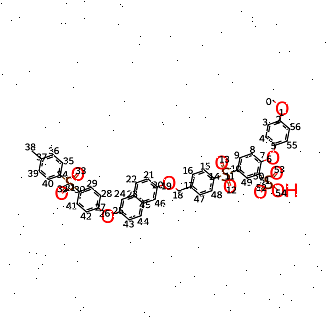 COc1ccc(Oc2ccc(S(=O)(=O)c3ccc(COc4ccc5cc(Oc6ccc(S(=O)(=O)c7ccc(C)cc7)cc6)ccc5c4)cc3)cc2S(=O)(=O)O)cc1